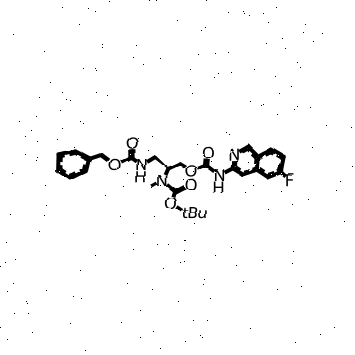 CN(C(=O)OC(C)(C)C)[C@@H](CNC(=O)OCc1ccccc1)COC(=O)Nc1cc2cc(F)ccc2cn1